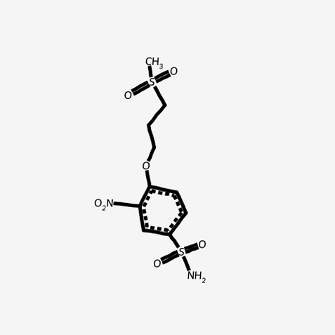 CS(=O)(=O)CCCOc1ccc(S(N)(=O)=O)cc1[N+](=O)[O-]